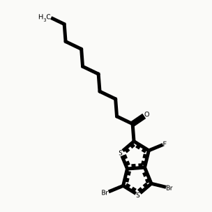 CCCCCCCCCC(=O)c1sc2c(Br)sc(Br)c2c1F